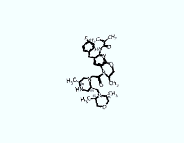 CC(C)C(=O)Nc1nc2c(cc1Cc1ccc(F)cc1)N(C(=O)CN1C[C@@H](C)NC[C@@H]1CN1[C@H](C)COC[C@H]1C)C(C)CO2